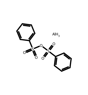 O=S(=O)(OS(=O)(=O)c1ccccc1)c1ccccc1.[AlH3]